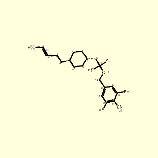 C/C=C/CC[C@H]1CC[C@H](CC(F)(F)OCc2cc(F)c(C#N)c(F)c2)CC1